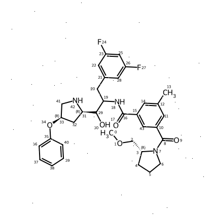 COC[C@H]1CCCN1C(=O)c1cc(C)cc(C(=O)NC(Cc2cc(F)cc(F)c2)C(O)[C@H]2C[C@@H](Oc3ccccc3)CN2)c1